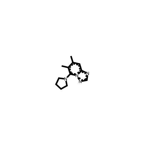 Cc1cc2ncnn2c(N2CCCC2)c1C